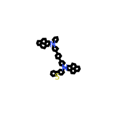 c1ccc(N(c2ccc(-c3ccc(-c4ccc(N(c5cc6ccc7cccc8ccc(c5)c6c78)c5ccc6sc7ccccc7c6c5)cc4)cc3)cc2)c2cc3ccc4cccc5ccc(c2)c3c45)cc1